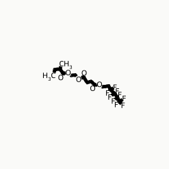 CCC(C)C(=O)OCCOC(=O)CCC(=O)OCCC(F)(F)C(F)(F)C(F)(F)C(F)(F)F